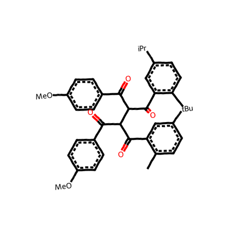 COc1ccc(C(=O)C(C(=O)c2cc(C(C)C)ccc2C)C(C(=O)c2ccc(OC)cc2)C(=O)c2cc(C(C)(C)C)ccc2C)cc1